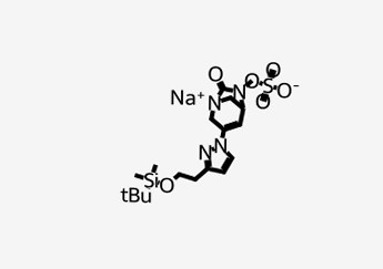 CC(C)(C)[Si](C)(C)OCCc1ccn(C2=CC3CN(C2)C(=O)N3OS(=O)(=O)[O-])n1.[Na+]